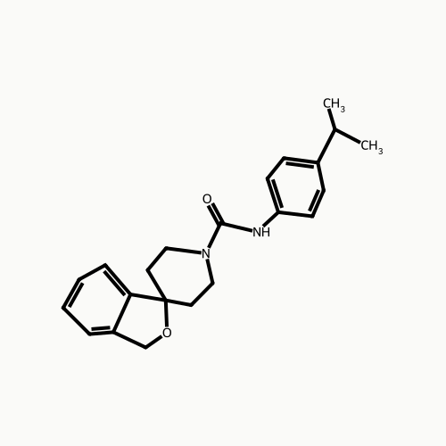 CC(C)c1ccc(NC(=O)N2CCC3(CC2)OCc2ccccc23)cc1